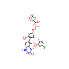 COc1cc(OC[C@H](C)OC(=O)C2COC(C)(C)O2)ccc1-c1ccc2c(c1COc1cc(F)ccc1C)N(C)C(=O)C(C)(C)N2